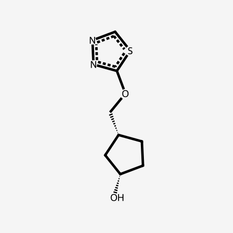 O[C@H]1CC[C@@H](COc2nncs2)C1